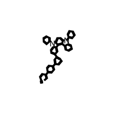 C#C/C=C\C(=C/C)c1ccc(-c2cccc(-c3ccc4c(c3)c3c5c6ccccc6n(-c6ccccc6)c5ccc3n4-c3ccccc3)c2)cc1